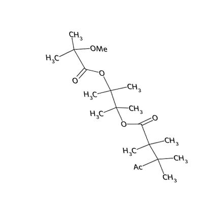 COC(C)(C)C(=O)OC(C)(C)C(C)(C)OC(=O)C(C)(C)C(C)(C)C(C)=O